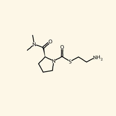 CN(C)C(=O)[C@@H]1CCCN1C(=O)SCCN